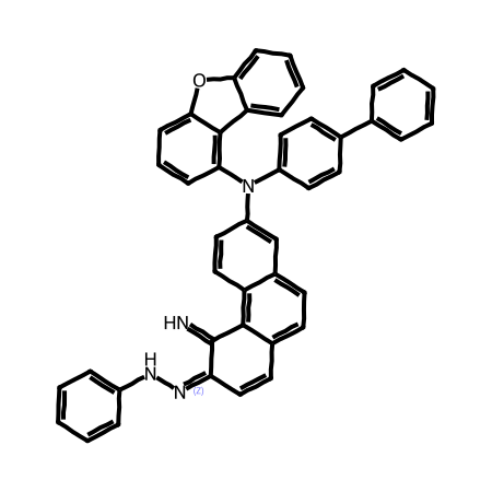 N=C1/C(=N\Nc2ccccc2)C=Cc2ccc3cc(N(c4ccc(-c5ccccc5)cc4)c4cccc5oc6ccccc6c45)ccc3c21